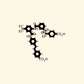 CCN(CC)c1ccc(NC(=O)c2cccc(S(=O)(=O)N(CC)C3CCC(C(=O)O)CC3)c2)c(C(=O)Nc2ccc(CCc3ccc(C(=O)O)cc3)cc2)c1